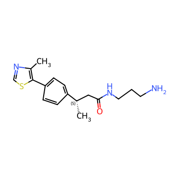 Cc1ncsc1-c1ccc([C@@H](C)CC(=O)NCCCN)cc1